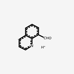 O=Cc1cccc2[c]ccnc12.[H+]